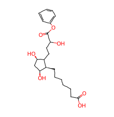 O=C(O)CCCCCC[C@@H]1C(CCC(O)C(=O)Oc2ccccc2)[C@H](O)C[C@@H]1O